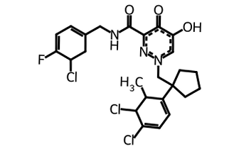 CC1C(C2(Cn3cc(O)c(=O)c(C(=O)NCC4=CC=C(F)C(Cl)C4)n3)CCCC2)=CC=C(Cl)C1Cl